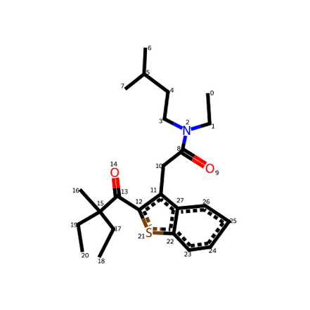 CCN(CCC(C)C)C(=O)Cc1c(C(=O)C(C)(CC)CC)sc2ccccc12